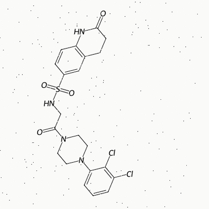 O=C1CCc2cc(S(=O)(=O)NCC(=O)N3CCN(c4cccc(Cl)c4Cl)CC3)ccc2N1